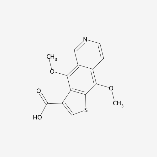 COc1c2ccncc2c(OC)c2c(C(=O)O)csc12